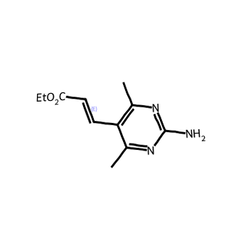 CCOC(=O)/C=C/c1c(C)nc(N)nc1C